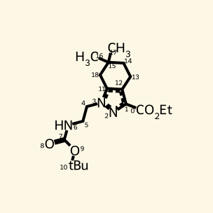 CCOC(=O)c1nn(CCNC(=O)OC(C)(C)C)c2c1CCC(C)(C)C2